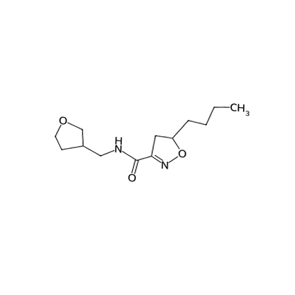 CCCCC1CC(C(=O)NCC2CCOC2)=NO1